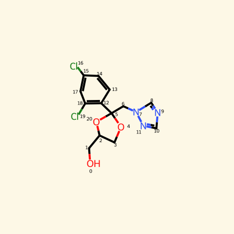 OCC1COC(Cn2cncn2)(c2ccc(Cl)cc2Cl)O1